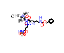 CCCN(C(=O)[C@@H](NC(=O)[C@H](CCCCNC(=O)OCc1ccccc1)NC(=O)CCC(=O)NS(C)(=O)=O)C(C)C)[C@H](C=O)C(C)C